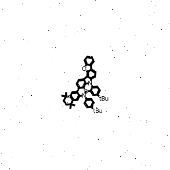 CC(C)(C)c1ccc(N2B3c4cc(C(C)(C)C)ccc4-n4c5ccc6c7ccccc7oc6c5c5ccc(c3c54)-c3cc4c(cc32)C(C)(C)CCC4(C)C)cc1